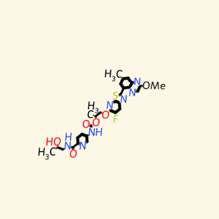 COc1cnc2c(-c3nc4cc(F)c(OC[C@@H](C)OC(=O)Nc5ccc(C(=O)NC[C@@H](C)O)nc5)nc4s3)cc(C)cc2n1